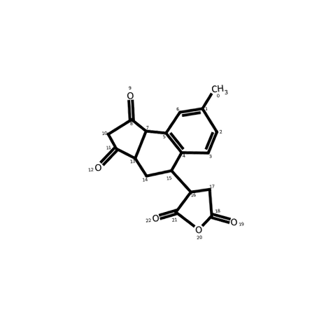 Cc1ccc2c(c1)C1C(=O)CC(=O)C1CC2C1CC(=O)OC1=O